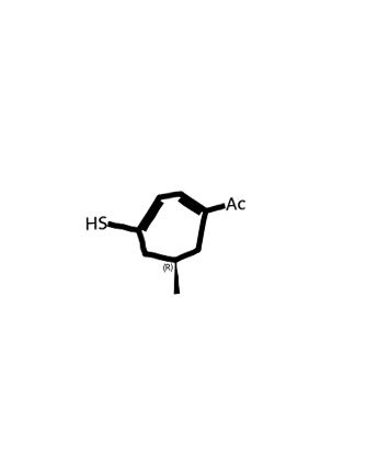 CC(=O)C1=CC=C(S)C[C@H](C)C1